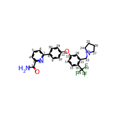 NC(=O)c1cccc(-c2ccc(Oc3ccc(C(F)(F)F)c(CN4CCCC4)c3)cc2)n1